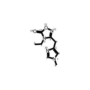 CCn1c(Cc2cn(C)cn2)noc1=O